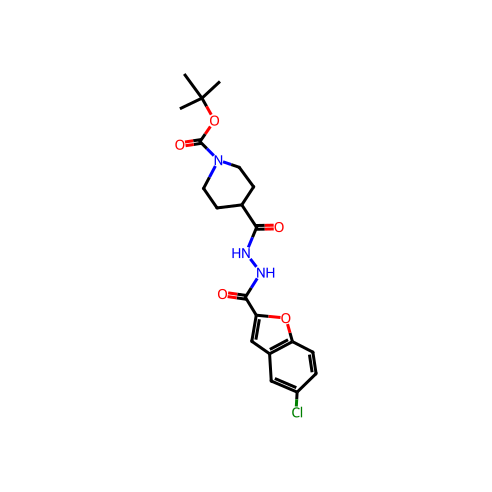 CC(C)(C)OC(=O)N1CCC(C(=O)NNC(=O)c2cc3cc(Cl)ccc3o2)CC1